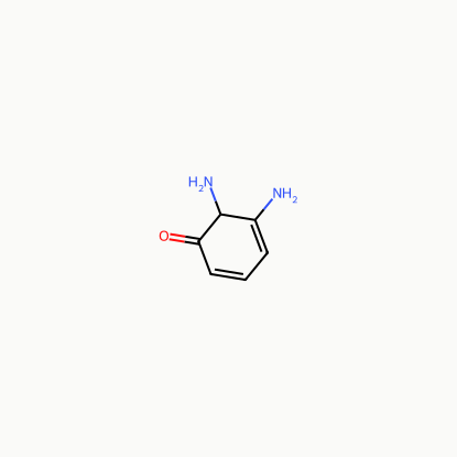 NC1=CC=CC(=O)C1N